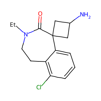 CCN1CCc2c(Cl)cccc2C2(CC(N)C2)C1=O